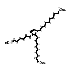 CCCCCCCCCCCCCCCCCCCN1C=CN(CCCCCCCCCCCCCCCC)C1CCCCCCCCCCCCCCCCCC